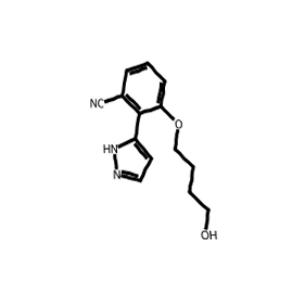 N#Cc1cccc(OCCCCO)c1-c1ccn[nH]1